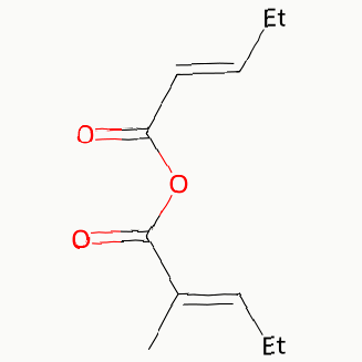 CCC=CC(=O)OC(=O)C(C)=CCC